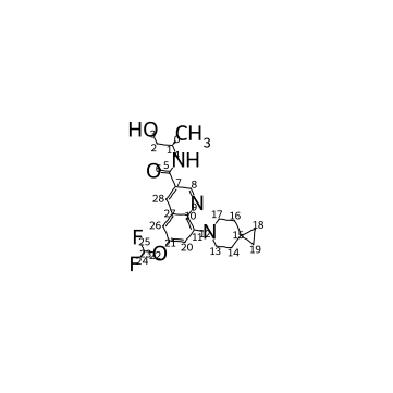 C[C@H](CO)NC(=O)c1cnc2c(N3CCC4(CC3)CC4)cc(OC(F)F)cc2c1